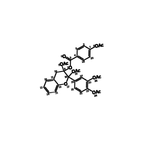 CC(=O)Oc1ccc(C(=O)OC2(OC(C)=O)Cc3ccccc3OC2(OC(C)=O)c2ccc(OC(C)=O)c(OC(C)=O)c2)cc1